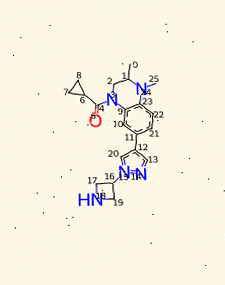 CC1CN(C(=O)C2CC2)c2cc(-c3cnn(C4CNC4)c3)ccc2N1C